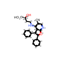 N#Cc1cnc2oc(-c3ccccc3)c(-c3ccccc3)c2c1NCC[C@H](O)C(=O)O